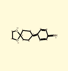 N=C1C=CC(=C2CCC3(CC2)OCCO3)C=C1